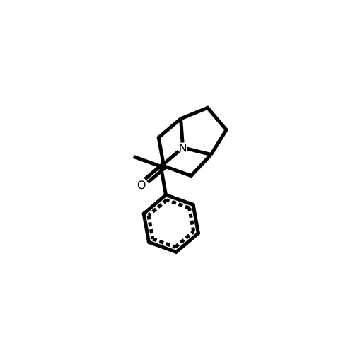 CC(c1ccccc1)N1C2CCC1CC(=O)C2